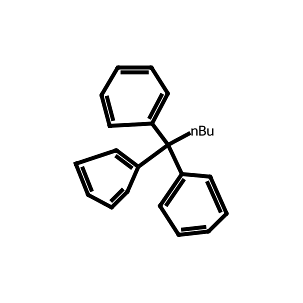 [CH2]CCCC(c1ccccc1)(c1ccccc1)c1ccccc1